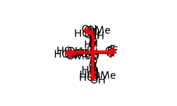 CO[C@@H]1O[C@H](CO)[C@H](O)[C@H](O)[C@H]1n1cc(COCCOCCOCCNC(=O)CCC(CCC(=O)CCCOCCOCCONc2cn([C@H]3[C@H](OC)O[C@H](CO)[C@H](O)[C@@H]3O)nn2)(CCC(=O)CCCOCCOCCONc2cn([C@H]3[C@H](OC)O[C@H](CO)[C@H](O)[C@@H]3O)nn2)NC(=O)CCCCCCCCCCC(=O)Oc2c(F)c(F)c(F)c(F)c2F)nn1